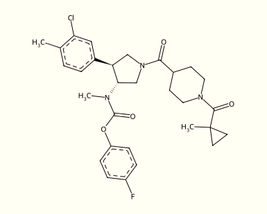 Cc1ccc([C@H]2CN(C(=O)C3CCN(C(=O)C4(C)CC4)CC3)C[C@@H]2N(C)C(=O)Oc2ccc(F)cc2)cc1Cl